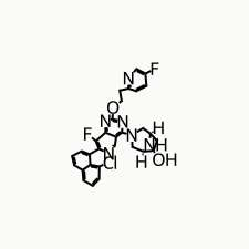 O[C@@H]1C[C@@H]2CN(c3nc(OCCc4ccc(F)cn4)nc4c(F)c(-c5cccc6cccc(Cl)c56)ncc34)C[C@H]1N2